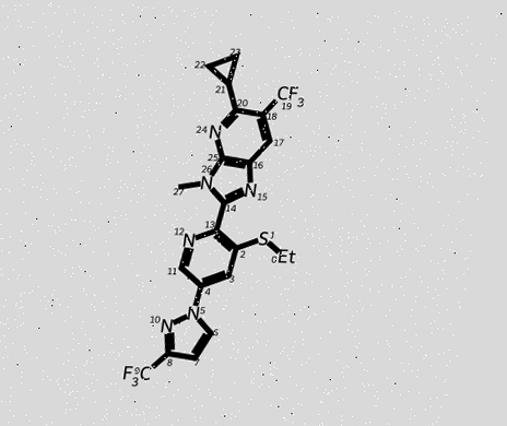 CCSc1cc(-n2ccc(C(F)(F)F)n2)cnc1-c1nc2cc(C(F)(F)F)c(C3CC3)nc2n1C